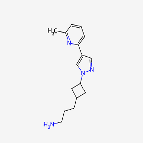 Cc1cccc(-c2cnn(C3CC(CCCN)C3)c2)n1